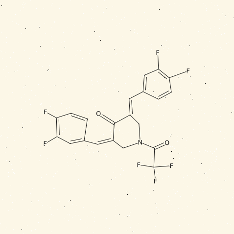 O=C1C(=Cc2ccc(F)c(F)c2)CN(C(=O)C(F)(F)F)CC1=Cc1ccc(F)c(F)c1